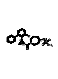 CS(=O)(=O)N[C@@H]1CCCN(C(=O)[C@@H]2C[C@H]2c2c(Cl)cccc2-c2ccccc2)CC1